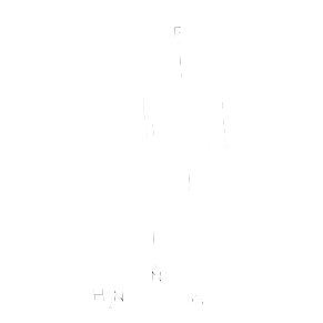 N[N+](=O)C[CH]c1ccc(F)cc1